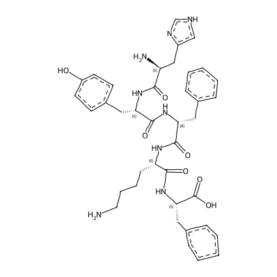 NCCCC[C@H](NC(=O)[C@@H](Cc1ccccc1)NC(=O)[C@H](Cc1ccc(O)cc1)NC(=O)[C@@H](N)Cc1c[nH]cn1)C(=O)N[C@@H](Cc1ccccc1)C(=O)O